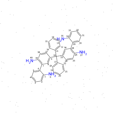 Nc1ccccc1-c1cc(C(c2ccccc2)(c2ccccc2)c2ccc(N)c(-c3ccccc3N)c2)ccc1N